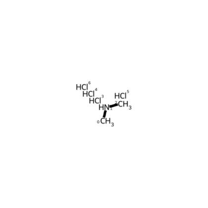 CNC.Cl.Cl.Cl.Cl